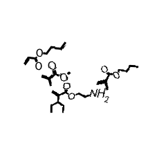 C=C(C(=O)OCCN)C(CC)CC.C=C(C)C(=O)OC.C=C(C)C(=O)OCCCC.C=CC(=O)OCCCC